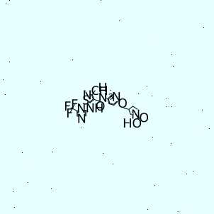 Cc1nsc(Nc2cncc(C(F)(F)F)n2)c1C(=O)Nc1ccc(OCC2CCN(C(=O)O)C2)nc1